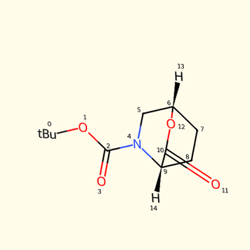 CC(C)(C)OC(=O)N1C[C@@H]2CC[C@H]1C(=O)O2